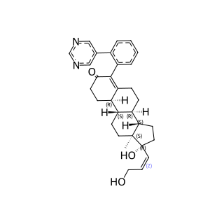 C[C@]12CC[C@H]3[C@@H](CCC4=C(c5ccccc5-c5cncnc5)C(=O)CC[C@@H]43)[C@@H]1CC[C@@]2(O)/C=C\CO